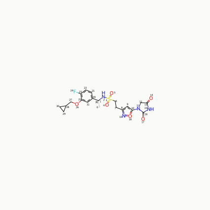 C[C@@H](NS(=O)(=O)CCc1cc(N2CC(=O)NC2=O)on1)c1ccc(F)c(OCC2CC2)c1